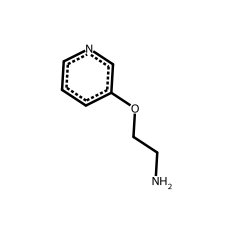 NCCOc1cccnc1